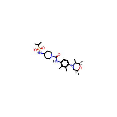 Cc1c(NC(=O)N2CCC(NS(=O)(=O)C(C)C)CC2)ccc(N2C[C@H](C)O[C@H](C)C2C)c1C